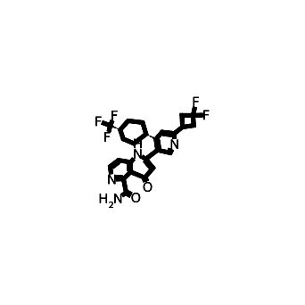 NC(=O)c1nccc2[nH]c(-c3cnc(C4CC(F)(F)C4)cc3[C@H]3CC[C@@H](C(F)(F)F)CC3)cc(=O)c12